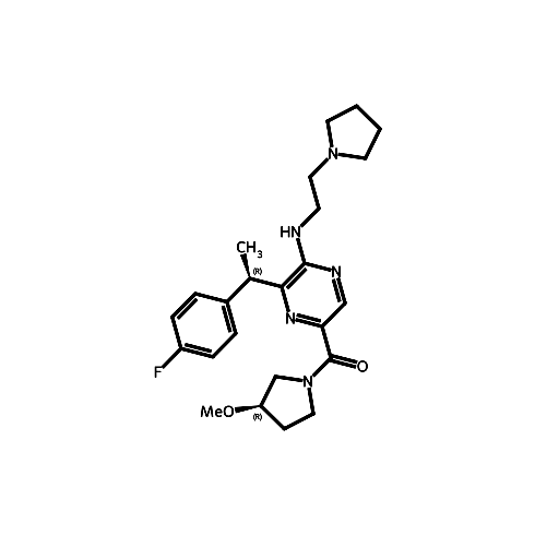 CO[C@@H]1CCN(C(=O)c2cnc(NCCN3CCCC3)c([C@H](C)c3ccc(F)cc3)n2)C1